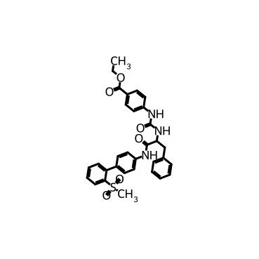 CCOC(=O)c1ccc(NC(=O)NC(Cc2ccccc2)C(=O)Nc2ccc(-c3ccccc3S(C)(=O)=O)cc2)cc1